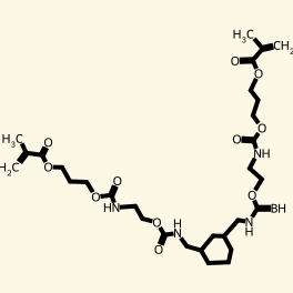 B=C(NCC1CCCC(CNC(=O)OCCNC(=O)OCCCOC(=O)C(=C)C)C1)OCCNC(=O)OCCCOC(=O)C(=C)C